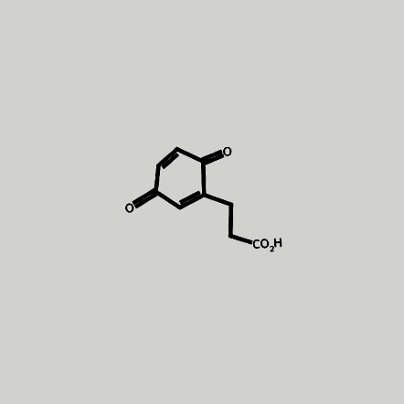 O=C1C=CC(=O)C(CCC(=O)O)=C1